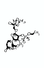 CCOP(=S)(N=O)O[C@@H]1[C@@H](OCP(=O)(N=O)OC)O[C@@H](n2ccc(=O)[nH]c2=O)[C@@H]1C